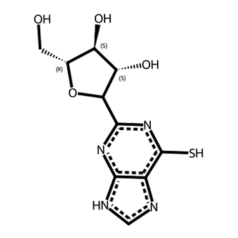 OC[C@H]1OC(c2nc(S)c3nc[nH]c3n2)[C@@H](O)[C@@H]1O